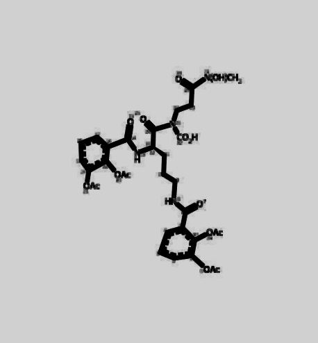 CC(=O)Oc1cccc(C(=O)NCCC[C@@H](NC(=O)c2cccc(OC(C)=O)c2OC(C)=O)C(=O)N(CCC(=O)N(C)O)C(=O)O)c1OC(C)=O